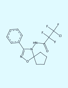 O=C(NN1C(c2ccccc2)=NOC12CCCC2)C(F)(F)C(F)(F)Cl